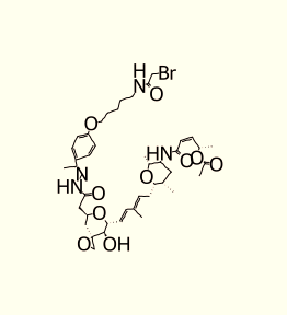 CC(=O)O[C@@H](C)/C=C\C(=O)N[C@@H]1C[C@H](C)[C@H](C/C=C(C)/C=C/[C@H]2O[C@H](CC(=O)N/N=C(\C)c3ccc(OCCCCCNC(=O)CBr)cc3)C[C@@]3(CO3)[C@@H]2O)O[C@@H]1C